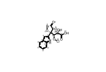 O=C[C@H](O)[C@](OBr)(c1cc2ccccc2[nH]1)[C@H](OCl)[C@H](O)C(=O)O